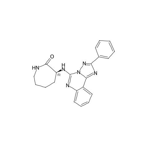 O=C1NCCCC[C@@H]1Nc1nc2ccccc2c2nc(-c3ccccc3)nn12